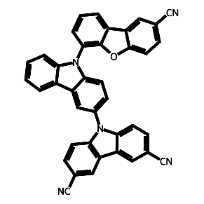 N#Cc1ccc2oc3c(-n4c5ccccc5c5cc(-n6c7ccc(C#N)cc7c7cc(C#N)ccc76)ccc54)cccc3c2c1